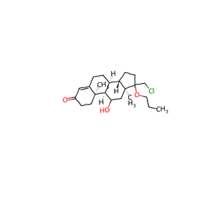 CCCOC1(CCl)CC[C@H]2[C@@H]3CCC4=CC(=O)CC[C@]4(C)[C@@H]3C(O)C[C@@]21C